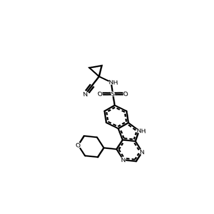 N#CC1(NS(=O)(=O)c2ccc3c(c2)[nH]c2ncnc(C4CCOCC4)c23)CC1